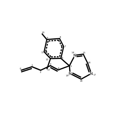 C=CCC=CC1(c2ccc(C)cc2C)N=CC=NC=N1